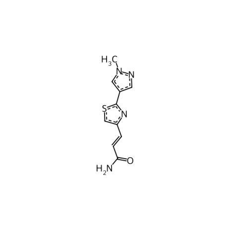 Cn1cc(-c2nc(/C=C/C(N)=O)cs2)cn1